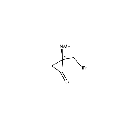 CN[C@]1(CC(C)C)CC1=O